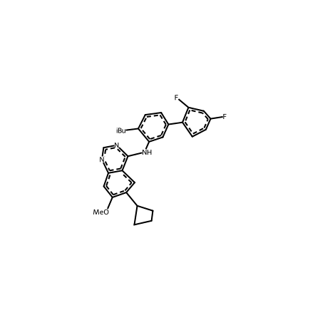 CCC(C)c1ccc(-c2ccc(F)cc2F)cc1Nc1ncnc2cc(OC)c(C3CCC3)cc12